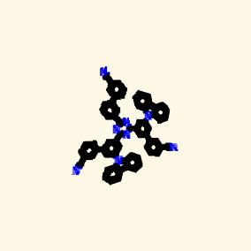 N#Cc1cccc(-c2cccc(-c3nc(-c4cc(-c5cccc(C#N)c5)cc(-n5c6ccccc6c6ccccc65)c4)nc(-c4cc(-c5cccc(C#N)c5)cc(-n5c6ccccc6c6ccccc65)c4)n3)c2)c1